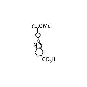 COC(=O)C1CC(n2cc3c(n2)CCC(C(=O)O)C3)C1